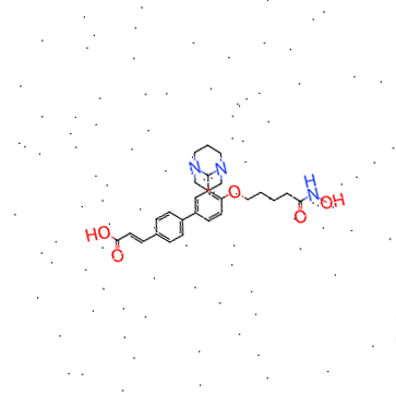 O=C(O)C=Cc1ccc(-c2ccc(OCCCCC(=O)NO)c(C3N4CCCN3CCC4)c2)cc1